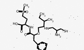 CCC(C)C(COC(Cc1ccccc1)C(=O)NC(CCS(C)(=O)=O)C(=O)O)NCC(N)CS